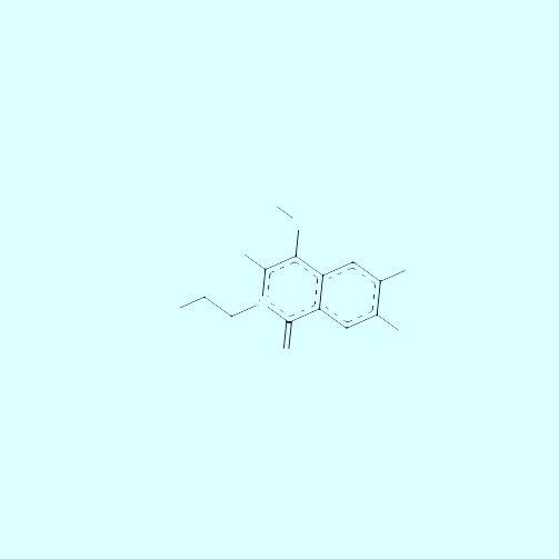 CCCCOc1c(C(=O)O)n(CCC(=O)OCC)c(=O)c2cc(Cl)c(Cl)cc12